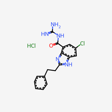 Cl.N=C(N)NC(=O)c1cc(Cl)cc2[nH]c(CCc3ccccc3)nc12